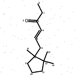 CCC(=O)/C=C/CC1(C)CCCC1(C)C